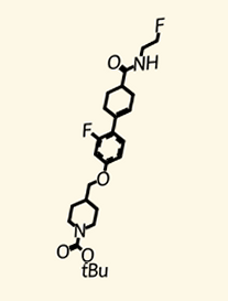 CC(C)(C)OC(=O)N1CCC(COc2ccc(C3=CCC(C(=O)NCCF)CC3)c(F)c2)CC1